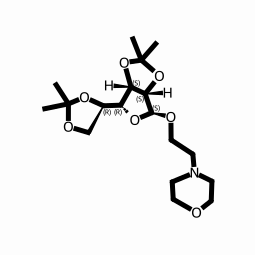 CC1(C)O[C@@H]2[C@H](O1)[C@@H](OCCN1CCOCC1)O[C@@H]2[C@H]1COC(C)(C)O1